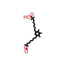 Cc1c(CCCCCCC(C)(C)OC=O)cc(CCCCCCC(C)(C)C(=O)O)c(C)c1C